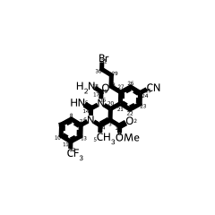 COC(=O)C1=C(C)N(c2cccc(C(F)(F)F)c2)C(=N)N(C(N)=O)C1c1ccc(C#N)cc1CCCBr